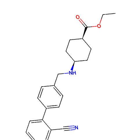 CCOC(=O)[C@H]1CC[C@@H](NCc2ccc(-c3ccccc3C#N)cc2)CC1